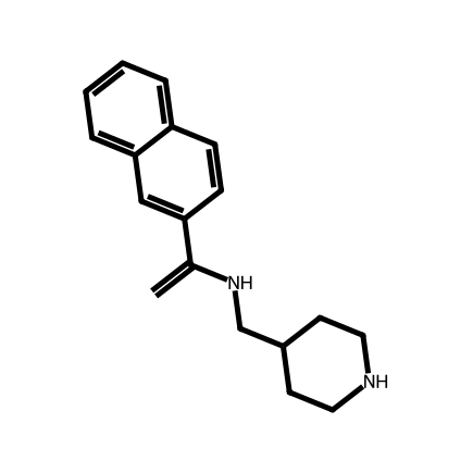 C=C(NCC1CCNCC1)c1ccc2ccccc2c1